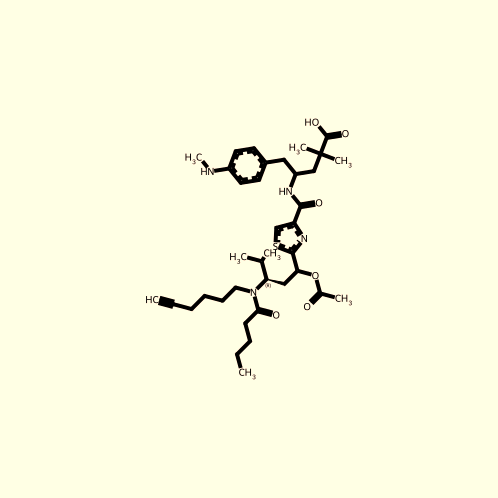 C#CCCCCN(C(=O)CCCC)[C@H](CC(OC(C)=O)c1nc(C(=O)NC(Cc2ccc(NC)cc2)CC(C)(C)C(=O)O)cs1)C(C)C